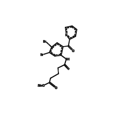 C=C(CCCC(=O)OC)Nc1cc(Br)c(Br)cc1C(=O)c1ccccn1